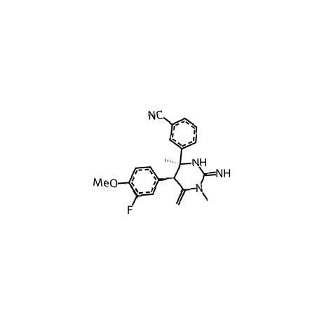 C=C1[C@@H](c2ccc(OC)c(F)c2)[C@@](C)(c2cccc(C#N)c2)NC(=N)N1C